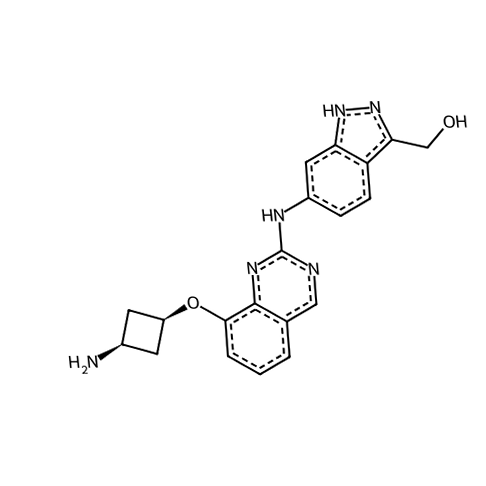 N[C@H]1C[C@@H](Oc2cccc3cnc(Nc4ccc5c(CO)n[nH]c5c4)nc23)C1